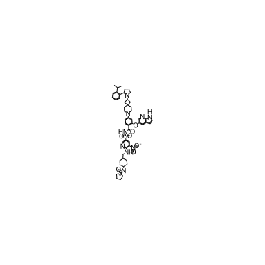 CC(C)c1ccccc1C1CCCN1C1CC2(CCN(c3ccc(C(=O)NS(=O)(=O)c4cnc(NCC5CCC(N=S6(=O)CCCC6)CC5)c([N+](=O)[O-])c4)c(Oc4cnc5[nH]ccc5c4)c3)CC2)C1